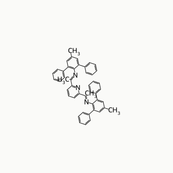 C/C(=N\c1c(-c2ccccc2)cc(C)cc1-c1ccccc1)c1cccc(/C(C)=N/c2c(-c3ccccc3)cc(C)cc2-c2ccccc2)n1